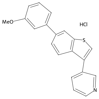 COc1cccc(-c2ccc3c(-c4cccnc4)csc3c2)c1.Cl